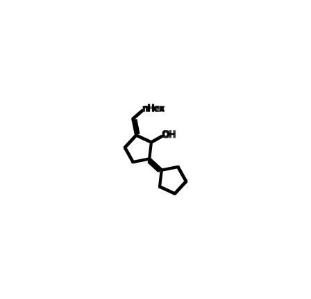 CCCCCCC=C1CCC(=C2CCCC2)C1O